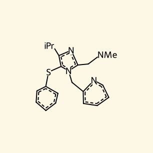 CNCc1nc(C(C)C)c(Sc2ccccc2)n1Cc1ccccn1